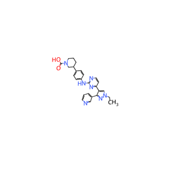 CCn1cc(-c2ccnc(Nc3ccc(C4CCCN(C(=O)O)C4)cc3)n2)c(-c2cccnc2)n1